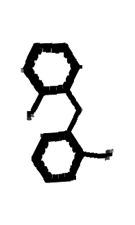 Fc1[c]cc[c]c1Cc1[c]cc[c]c1F